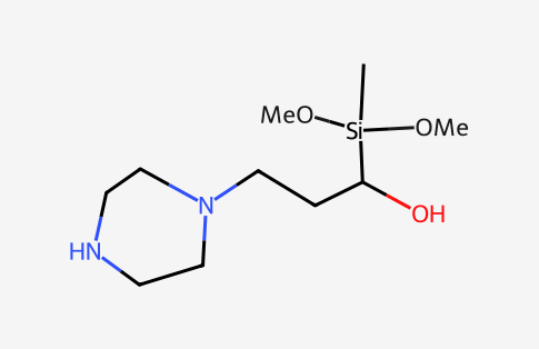 CO[Si](C)(OC)C(O)CCN1CCNCC1